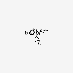 CCOC(=O)c1nn(C2CCCN(OC(C)(C)C)C2)c2c1CSc1cc(OC)ccc1-2